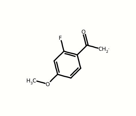 [CH2]C(=O)c1ccc(OC)cc1F